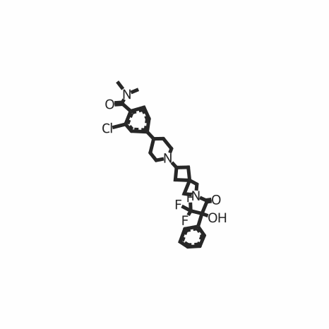 CN(C)C(=O)c1ccc(C2CCN(C3CC4(C3)CN(C(=O)C(O)(c3ccccc3)C(F)(F)F)C4)CC2)cc1Cl